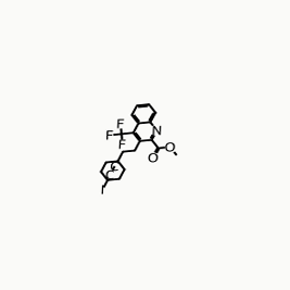 COC(=O)c1nc2ccccc2c(C(F)(F)F)c1CCC12CCC(I)(CC1)CC2